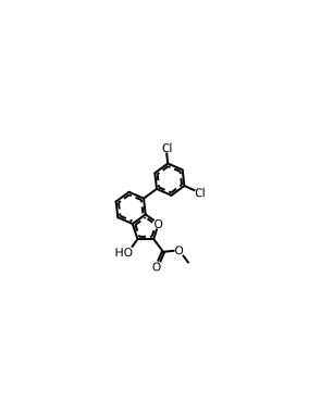 COC(=O)c1oc2c(-c3cc(Cl)cc(Cl)c3)cccc2c1O